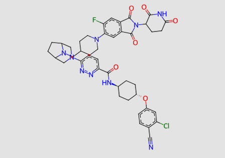 N#Cc1ccc(O[C@H]2CC[C@H](NC(=O)c3ccc(N4CC5CCC(C4)N5CC4CCN(c5cc6c(cc5F)C(=O)N(C5CCC(=O)NC5=O)C6=O)CC4)nn3)CC2)cc1Cl